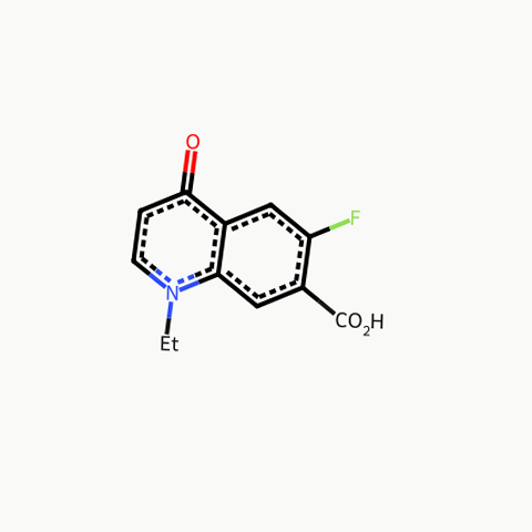 CCn1ccc(=O)c2cc(F)c(C(=O)O)cc21